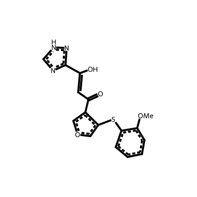 COc1ccccc1Sc1cocc1C(=O)C=C(O)c1nc[nH]n1